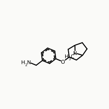 CN1C2CCC1CC(Oc1cccc(CN)c1)C2